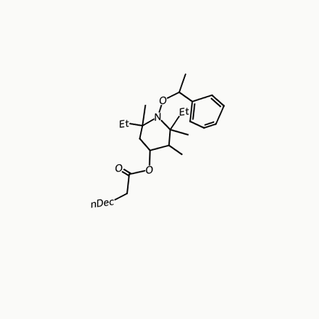 CCCCCCCCCCCC(=O)OC1CC(C)(CC)N(OC(C)c2ccccc2)C(C)(CC)C1C